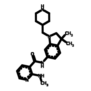 CNc1ncccc1C(=O)Nc1ccc2c(c1)N(CC1CCNCC1)CC2(C)C